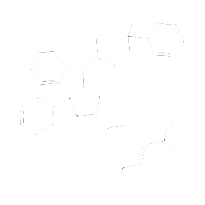 CC(C)N1CC(CN2CCC(O)(c3ccccc3)CC2)C(c2ccccc2)(c2ccccc2)C1=O.O=C(O)C=CC(=O)O